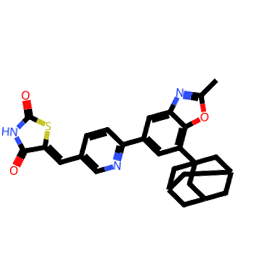 Cc1nc2cc(-c3ccc(/C=C4\SC(=O)NC4=O)cn3)cc(C34CC5CC(CC(C5)C3)C4)c2o1